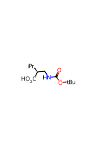 CC(C)[C@@H](CNC(=O)OC(C)(C)C)C(=O)O